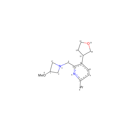 COC1CN(Cc2nc(C(C)C)ccc2C2CCOC2)C1